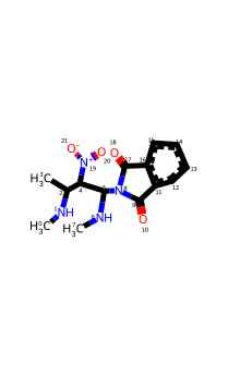 CNC(C)C(C(NC)N1C(=O)c2ccccc2C1=O)[N+](=O)[O-]